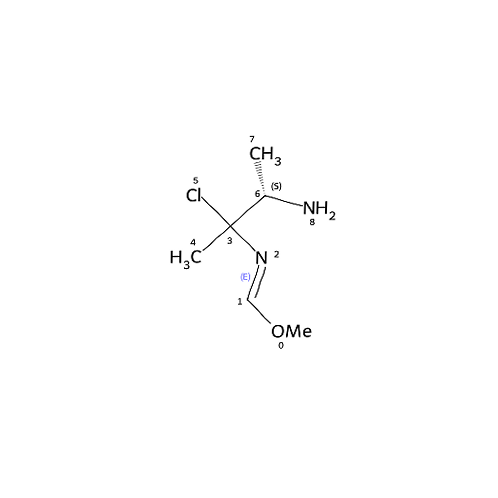 CO/C=N/C(C)(Cl)[C@H](C)N